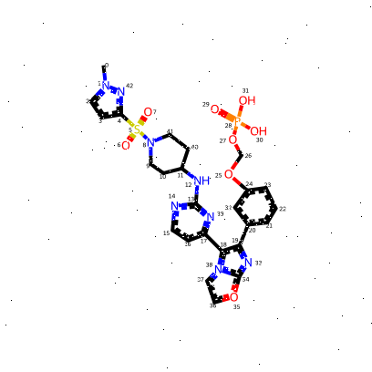 Cn1ccc(S(=O)(=O)N2CCC(Nc3nccc(-c4c(-c5cccc(OCOP(=O)(O)O)c5)nc5occn45)n3)CC2)n1